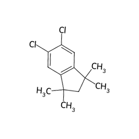 CC1(C)CC(C)(C)c2cc(Cl)c(Cl)cc21